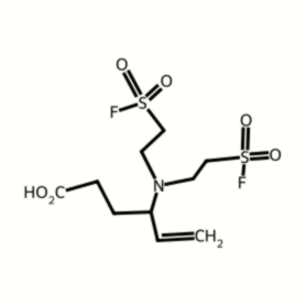 C=CC(CCC(=O)O)N(CCS(=O)(=O)F)CCS(=O)(=O)F